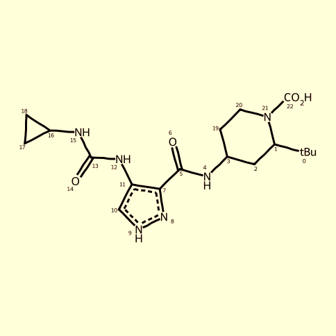 CC(C)(C)C1CC(NC(=O)c2n[nH]cc2NC(=O)NC2CC2)CCN1C(=O)O